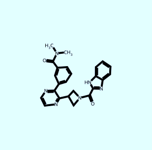 CN(C)C(=O)c1cccc(-c2nccnc2C2CN(C(=O)c3nc4ccccc4[nH]3)C2)c1